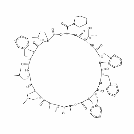 CC(C)C[C@@H]1NC(=O)[C@H](Cc2ccccc2)N(C)C(=O)[C@H](C(C)C)N(C)C(=O)C[C@@H](C(=O)N2CCCCC2)NC(=O)[C@H]([C@@H](C)O)NC(=O)[C@H](Cc2ccccc2)N(C)C(=O)[C@H](Cc2ccccc2)NC(=O)[C@H](Cc2ccccc2)N(C)C(=O)CN(C)C(=O)[C@H](C)N(C)C(=O)[C@H](CC(C)C)N(C)C1=O